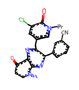 CC(C)n1cc(-c2nc3c(=O)cc[nH]c3nc2-c2cccc(C#N)c2)cc(Cl)c1=O